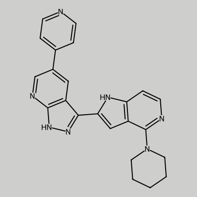 c1cc(-c2cnc3[nH]nc(-c4cc5c(N6CCCCC6)nccc5[nH]4)c3c2)ccn1